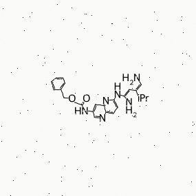 CC(C)C(=C/N)/C=C(\N)Nc1ccc2ncc(NC(=O)COCc3ccccc3)cc2n1